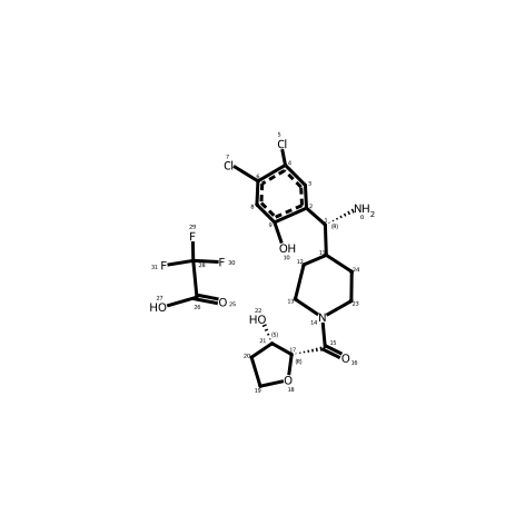 N[C@@H](c1cc(Cl)c(Cl)cc1O)C1CCN(C(=O)[C@@H]2OCC[C@@H]2O)CC1.O=C(O)C(F)(F)F